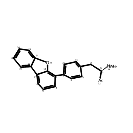 CN[C@@H](Cc1ccc(-c2cccc3c2oc2ccccc23)cc1)C(C)=O